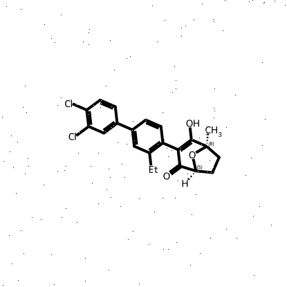 CCc1cc(-c2ccc(Cl)c(Cl)c2)ccc1C1=C(O)[C@@]2(C)CC[C@H](O2)C1=O